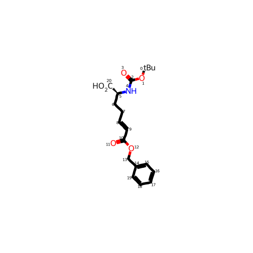 CC(C)(C)OC(=O)N[C@@H](CC/C=C/C(=O)OCc1ccccc1)C(=O)O